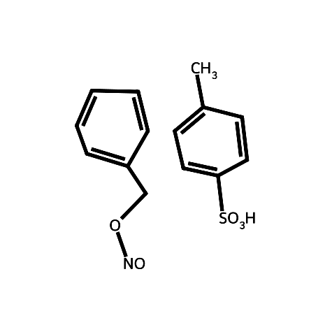 Cc1ccc(S(=O)(=O)O)cc1.O=NOCc1ccccc1